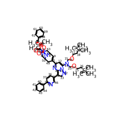 CC(C)(C)OC(=O)N1C2C=C(c3cc(N(COCC[Si](C)(C)C)COCC[Si](C)(C)C)n4ncc(-c5ccc(-c6ccccc6)nc5)c4n3)CC1CN(C(=O)OCc1ccccc1)C2